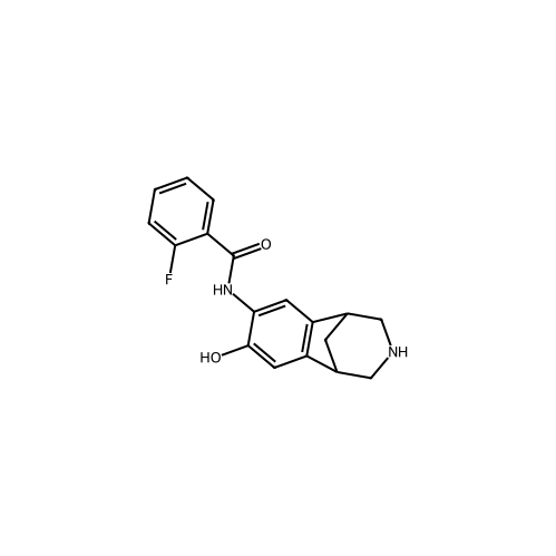 O=C(Nc1cc2c(cc1O)C1CNCC2C1)c1ccccc1F